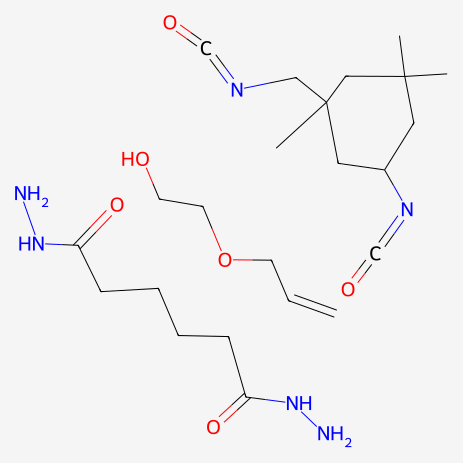 C=CCOCCO.CC1(C)CC(N=C=O)CC(C)(CN=C=O)C1.NNC(=O)CCCCC(=O)NN